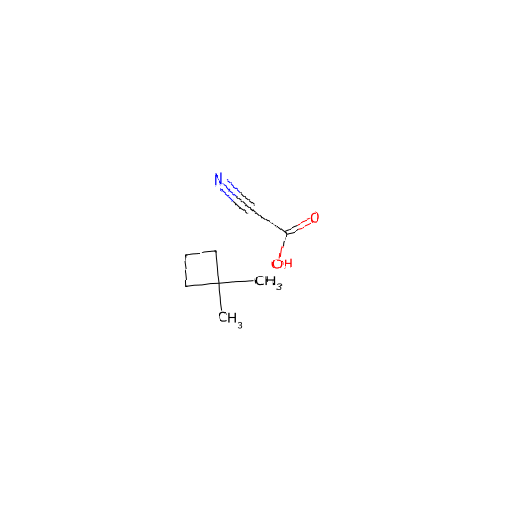 CC1(C)CCC1.N#CC(=O)O